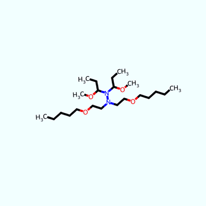 CCCCCOCCN(CCOCCCCC)N(C(CC)OC)C(CC)OC